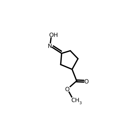 COC(=O)C1CCC(=NO)C1